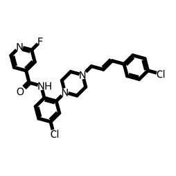 O=C(Nc1ccc(Cl)cc1N1CCN(C/C=C/c2ccc(Cl)cc2)CC1)c1ccnc(F)c1